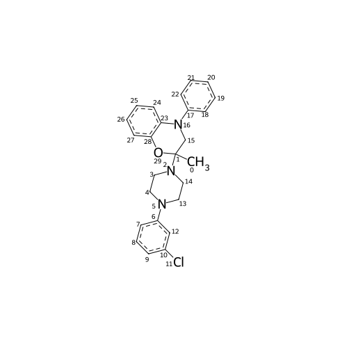 CC1(N2CCN(c3cccc(Cl)c3)CC2)CN(c2ccccc2)c2ccccc2O1